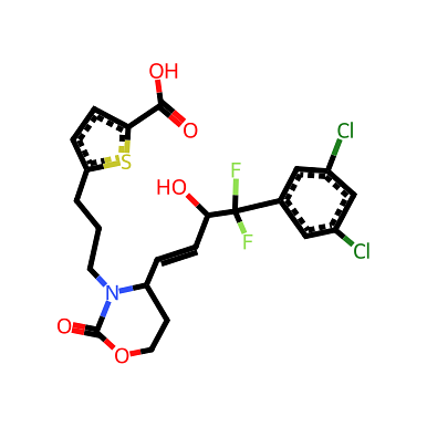 O=C(O)c1ccc(CCCN2C(=O)OCCC2/C=C/C(O)C(F)(F)c2cc(Cl)cc(Cl)c2)s1